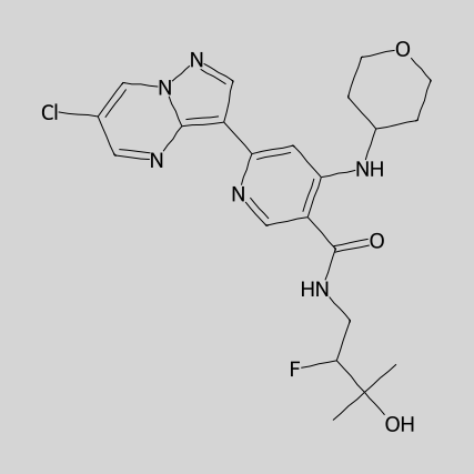 CC(C)(O)C(F)CNC(=O)c1cnc(-c2cnn3cc(Cl)cnc23)cc1NC1CCOCC1